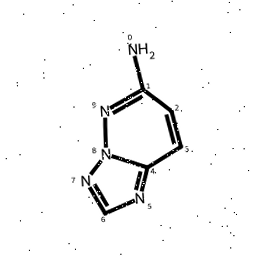 Nc1ccc2ncnn2n1